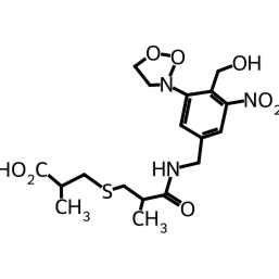 CC(CSCC(C)C(=O)NCc1cc(N2CCOO2)c(CO)c([N+](=O)[O-])c1)C(=O)O